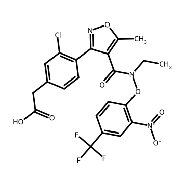 CCN(Oc1ccc(C(F)(F)F)cc1[N+](=O)[O-])C(=O)c1c(-c2ccc(CC(=O)O)cc2Cl)noc1C